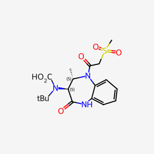 C[C@H]1[C@H](N(C(=O)O)C(C)(C)C)C(=O)Nc2ccccc2N1C(=O)CS(C)(=O)=O